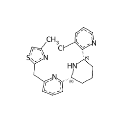 Cc1csc(Cc2cccc([C@H]3CCC[C@@H](c4ncccc4Cl)N3)n2)n1